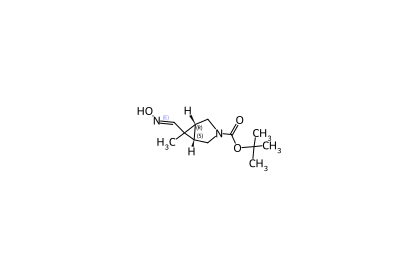 CC(C)(C)OC(=O)N1C[C@@H]2[C@H](C1)C2(C)/C=N/O